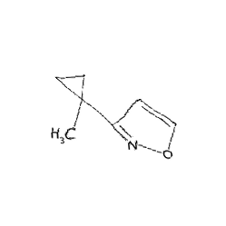 CC1(c2ccon2)CC1